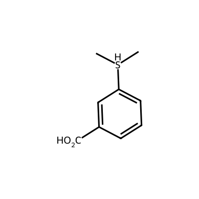 C[SH](C)c1cccc(C(=O)O)c1